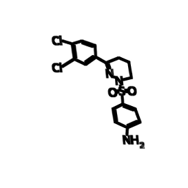 Nc1ccc(S(=O)(=O)N2CCCC(c3ccc(Cl)c(Cl)c3)=N2)cc1